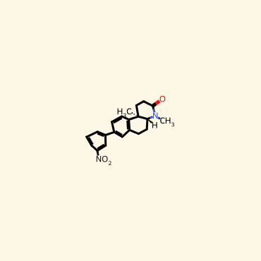 CN1C(=O)CC[C@]2(C)c3ccc(-c4cccc([N+](=O)[O-])c4)cc3CC[C@@H]12